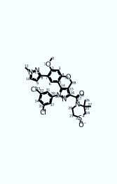 COc1cc2c(cc1-c1ccn(C)n1)-c1c(c(C(=O)N3CC[S+]([O-])CC3(C)C)nn1-c1cc(Cl)cc(Cl)c1)CO2